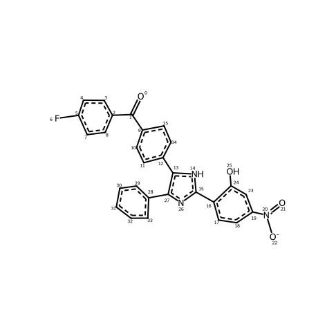 O=C(c1ccc(F)cc1)c1ccc(-c2[nH]c(-c3ccc([N+](=O)[O-])cc3O)nc2-c2ccccc2)cc1